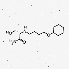 NC(=O)[C@H](CO)NCCCCOC1CCCCC1